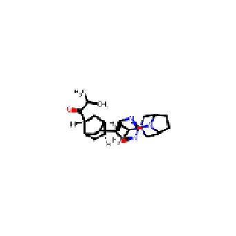 CC(C)C(=O)[C@@H]1CC2CCC1C[C@@H]2c1cnc(N2C3CCC2CN(C(C)C)C3)nc1